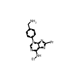 CCNc1ncn(-c2ccc(CN)cc2)c2nc(C(C)C)nc1-2